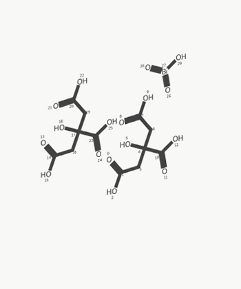 O=C(O)CC(O)(CC(=O)O)C(=O)O.O=C(O)CC(O)(CC(=O)O)C(=O)O.[O]=[Bi](=[O])[OH]